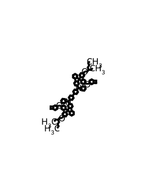 CCCCC(CC)COc1ccc(C2(c3ccc(Oc4ccc5c(c4)CC5)cc3)c3ccccc3-c3ccc(N(c4ccccc4)c4ccc(-c5ccc(N(c6ccccc6)c6ccc7c(c6)C(c6ccc(OCC(CC)CCCC)cc6)(c6ccc(Oc8ccc9c(c8)CC9)cc6)c6ccccc6-7)cc5)cc4)cc32)cc1